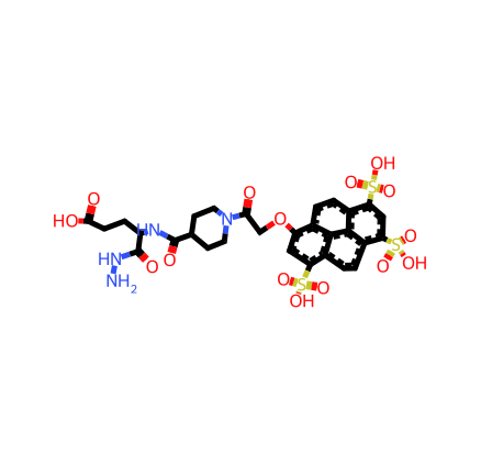 NNC(=O)C(CCC(=O)O)NC(=O)C1CCN(C(=O)COc2cc(S(=O)(=O)O)c3ccc4c(S(=O)(=O)O)cc(S(=O)(=O)O)c5ccc2c3c54)CC1